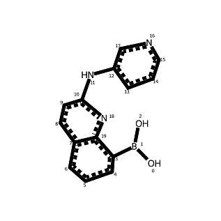 OB(O)c1cccc2ccc(Nc3cccnc3)nc12